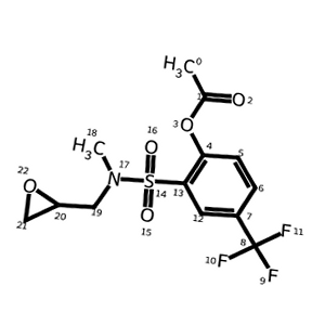 CC(=O)Oc1ccc(C(F)(F)F)cc1S(=O)(=O)N(C)CC1CO1